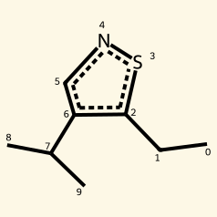 CCc1sncc1C(C)C